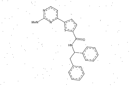 CNc1nccc(-c2ccc(C(=O)NC(Cc3ccccc3)c3ccccc3)s2)n1